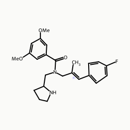 COc1cc(OC)cc(C(=O)N(C/C(C)=C/c2ccc(F)cc2)CC2CCCN2)c1